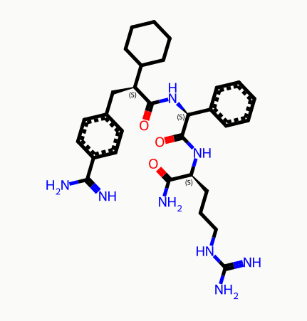 N=C(N)NCCC[C@H](NC(=O)[C@@H](NC(=O)[C@@H](Cc1ccc(C(=N)N)cc1)C1CCCCC1)c1ccccc1)C(N)=O